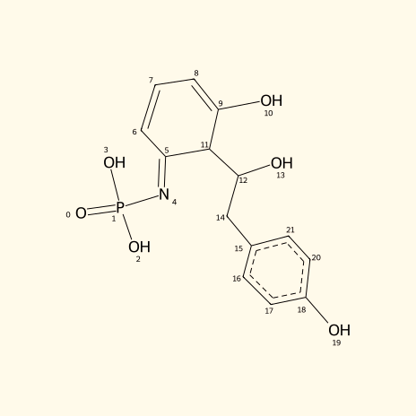 O=P(O)(O)N=C1C=CC=C(O)C1C(O)Cc1ccc(O)cc1